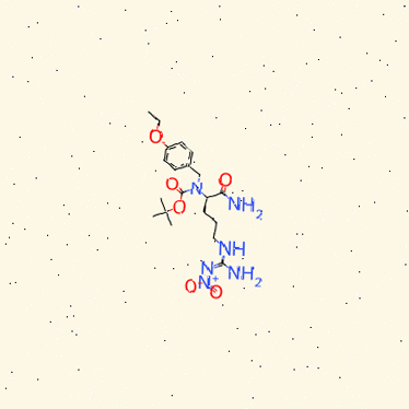 CCOc1ccc(CN(C(=O)OC(C)(C)C)[C@H](CCCNC(N)=N[N+](=O)[O-])C(N)=O)cc1